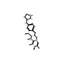 C=N/C(C)=C\N(CCCc1ccc(CC2CCNC2)cc1)/C(=C/C)N(C)CCC